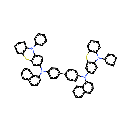 c1ccc(N2c3ccccc3Sc3cc(N(c4ccc(-c5ccc(N(c6ccc7c(c6)Sc6ccccc6N7c6ccccc6)c6cccc7ccccc67)cc5)cc4)c4cccc5ccccc45)ccc32)cc1